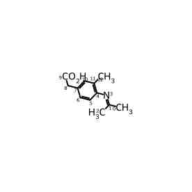 CC(C)=Nc1ccc(CC(=O)O)cc1C